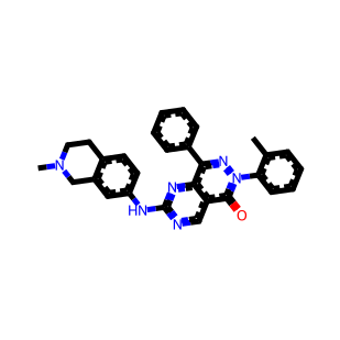 Cc1ccccc1-n1nc(-c2ccccc2)c2nc(Nc3ccc4c(c3)CN(C)CC4)ncc2c1=O